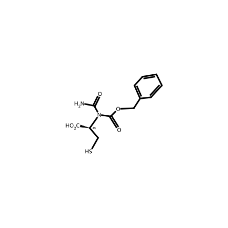 NC(=O)N(C(=O)OCc1ccccc1)[C@@H](CS)C(=O)O